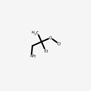 CCCCC(C)(CC)OCl